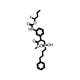 CCCC(F)OC(=O)Nc1cccc(C(CP(=O)(O)CCCCc2ccccc2)C(=O)OC)c1